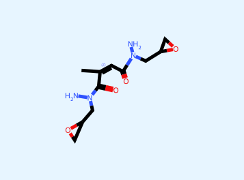 C/C(=C/C(=O)N(N)CC1CO1)C(=O)N(N)CC1CO1